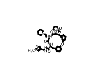 Cn1cc(CNC(=O)[C@@H]2Cc3cccc(c3)Oc3cccc(c3)C[C@H](N3CCCS3(=O)=O)C(=O)N[C@@H](CCN3CCCCC3)C(=O)N2)cn1